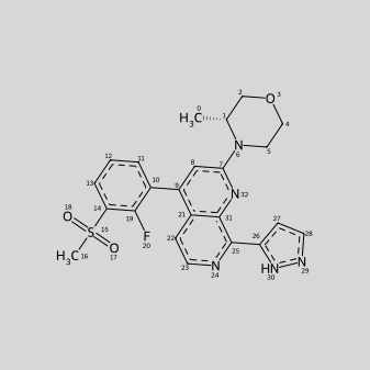 C[C@@H]1COCCN1c1cc(-c2cccc(S(C)(=O)=O)c2F)c2ccnc(-c3ccn[nH]3)c2n1